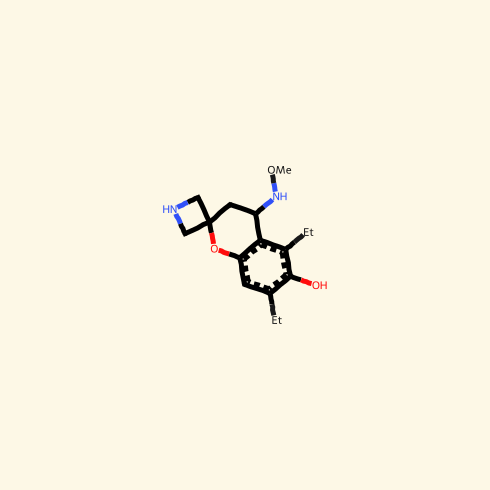 CCc1cc2c(c(CC)c1O)C(NOC)CC1(CNC1)O2